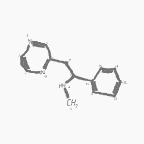 CNC(Cc1cnccn1)c1ccccc1